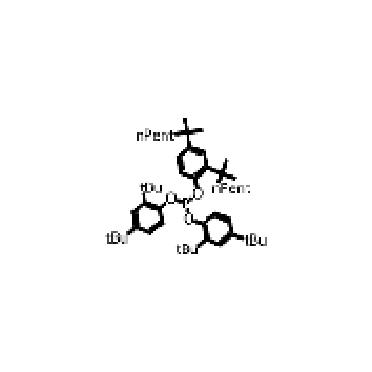 CCCCCC(C)(C)c1ccc(OP(Oc2ccc(C(C)(C)C)cc2C(C)(C)C)Oc2ccc(C(C)(C)C)cc2C(C)(C)C)c(C(C)(C)CCCCC)c1